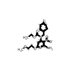 CCOC(=O)N(Cc1ccc(I)cc1)c1cc(OCCOC)nc(N)c1[N+](=O)[O-]